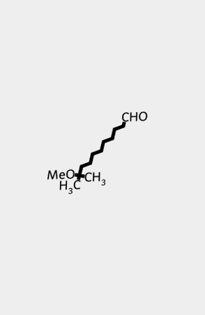 COC(C)(C)CCCCCCCCC=O